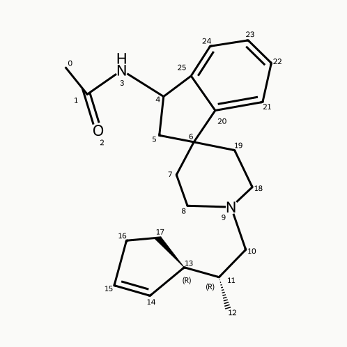 CC(=O)NC1CC2(CCN(C[C@H](C)[C@H]3C=CCC3)CC2)c2ccccc21